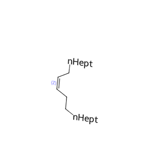 [C]CCCCCCCC/C=C\CCCCCCCC